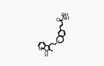 Cc1[nH]c2ncccc2c1CCN1CCc2ccc(C=CC(=O)NO)cc2C1